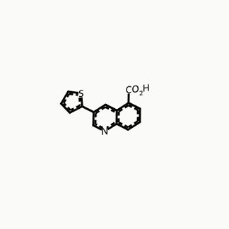 O=C(O)c1cccc2ncc(-c3cccs3)cc12